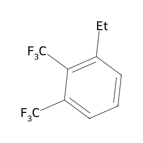 [CH2]Cc1cccc(C(F)(F)F)c1C(F)(F)F